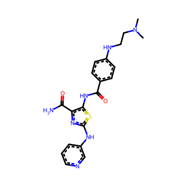 CN(C)CCNc1ccc(C(=O)Nc2sc(Nc3cccnc3)nc2C(N)=O)cc1